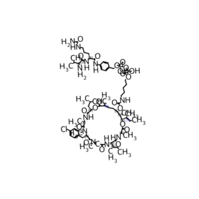 C/C=C(\C)[C@H]1OC(=O)[C@@H](C)NC(=O)[C@H]([C@H](C)CC)NC(=O)CN(C)C(=O)[C@@H](Cc2ccc(Cl)cc2)N(C)C(=O)[C@H](C)NC(=O)[C@@H](CC(C)C)OC(=O)/C(C)=C/C[C@H](OC(=O)NCCCCCOP(=O)(O)OP(=O)(O)OCc2ccc(NC(=O)[C@H](CCCNC(N)=O)NC(=O)[C@H](N)C(C)C)cc2)[C@@H]1C